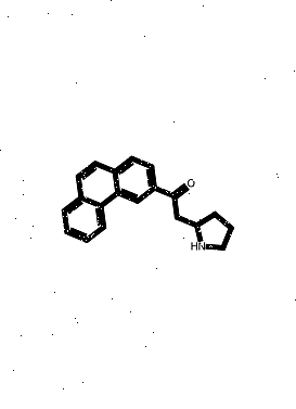 O=C(CC1CCCN1)c1ccc2ccc3ccccc3c2c1